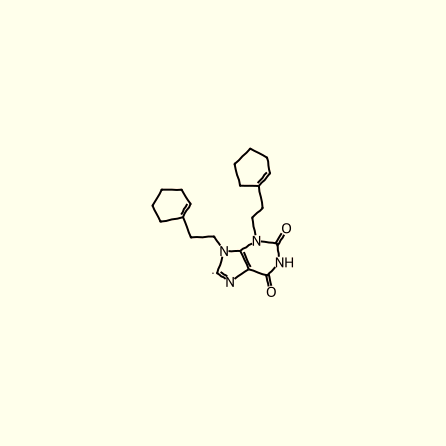 O=c1[nH]c(=O)n(CCC2=CCCCC2)c2c1n[c]n2CCC1=CCCCC1